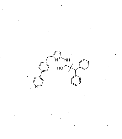 CC(C)(C(O)Nc1nc(Cc2ccc(-c3ccncc3)cc2)cs1)C(c1ccccc1)c1ccccc1